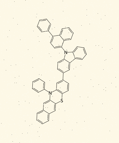 c1ccc(-c2ccc(-n3c4ccccc4c4cc(-c5ccc6c(c5)N(c5ccccc5)c5cc7ccccc7cc5S6)ccc43)c3ccccc23)cc1